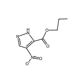 CCCOC(=O)c1[nH]ncc1[N+](=O)[O-]